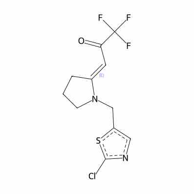 O=C(/C=C1\CCCN1Cc1cnc(Cl)s1)C(F)(F)F